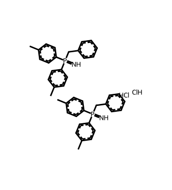 Cc1ccc(P(=N)(Cc2ccccc2)c2ccc(C)cc2)cc1.Cc1ccc(P(=N)(Cc2ccccc2)c2ccc(C)cc2)cc1.Cl.Cl